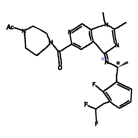 CC(=O)N1CCN(C(=O)c2cc3/c(=N/[C@H](C)c4cccc(C(F)F)c4F)nc(C)n(C)c3cn2)CC1